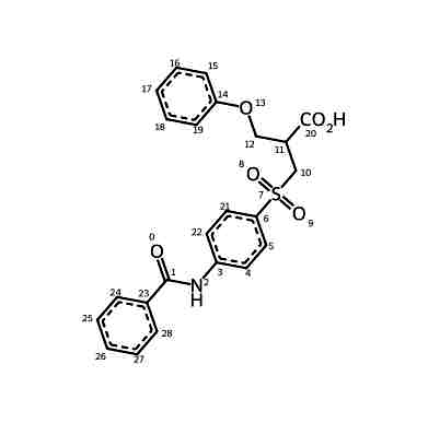 O=C(Nc1ccc(S(=O)(=O)CC(COc2ccccc2)C(=O)O)cc1)c1ccccc1